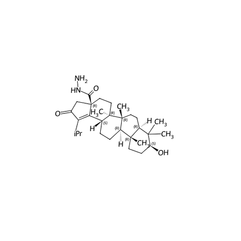 CC(C)C1=C2[C@H]3CC[C@@H]4[C@@]5(C)CC[C@H](O)C(C)(C)[C@@H]5CC[C@@]4(C)[C@]3(C)CC[C@@]2(C(=O)NN)CC1=O